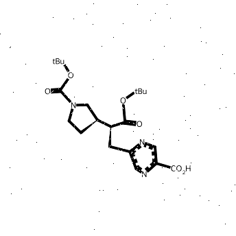 CC(C)(C)OC(=O)[C@@H](Cc1cnc(C(=O)O)cn1)[C@H]1CCN(C(=O)OC(C)(C)C)C1